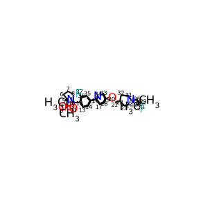 COC(=O)C1(C)CCCN1C(=O)c1ccc(-c2ccc(OCC3CCN(CC(C)(C)F)CC3)cn2)cc1F